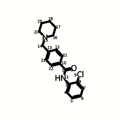 O=C(Nc1ccccc1Cl)c1ccc(CN2CCCCC2)cc1